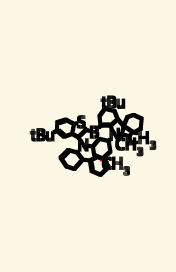 CC1CC2C3B(C4=C5C(CC(C(C)(C)C)C4)C4(CCCCC4)C(C)(C)N5C3C1)C1SC3C=CC(C(C)(C)C)=CC3C1N2C1C=CCCC1C1=CCCCC1